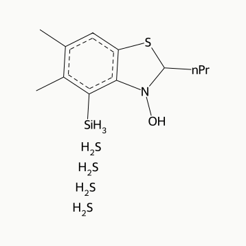 CCCC1Sc2cc(C)c(C)c([SiH3])c2N1O.S.S.S.S